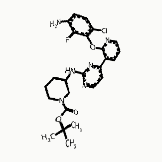 CC(C)(C)OC(=O)N1CCCC(Nc2nccc(-c3cccnc3Oc3c(Cl)ccc(N)c3F)n2)C1